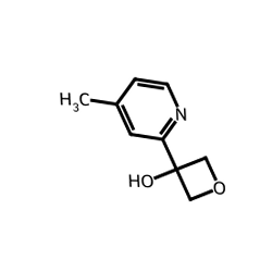 Cc1ccnc(C2(O)COC2)c1